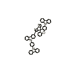 c1ccc2c(c1)Oc1ccc(-n3c4ccccc4c4ccccc43)cc1C21c2cccnc2-c2ncc(-c3ccc4c(c3)c3ccccc3n4-c3ccc(-n4c5ccccc5c5ccccc54)cc3)cc21